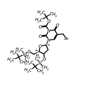 CC(C)(C)OC(=O)n1c(=O)c(CBr)cn([C@H]2CC(O[Si](C)(C)C(C)(C)C)[C@@H](CO[Si](C)(C)C(C)(C)C)O2)c1=O